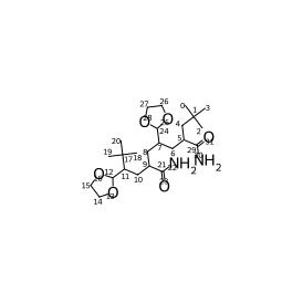 CC(C)(C)CC(CC(CC(CC(C1OCCO1)C(C)(C)C)C(N)=O)C1OCCO1)C(N)=O